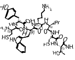 CC(C)[C@H](NC(=O)[C@H](CCCCN)NC(=O)[C@@H](Cc1c[nH]c2ccccc12)NC(=O)[C@@H](Cc1ccc(O)cc1)NC(=O)[C@H](N)CS)C(=O)N[C@@H](CS)C(=O)N[C@H](C(N)=O)[C@@H](C)O